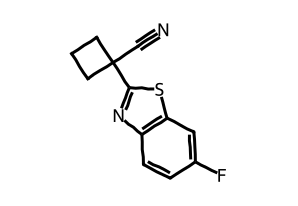 N#CC1(c2nc3ccc(F)cc3s2)CCC1